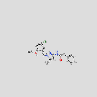 CCCCOc1ccc(Cl)cc1Cn1nc(NC(=O)Cc2ccccc2)cc1C